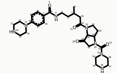 CC(CCNC(=O)c1ccc(N2CCNCC2)cc1)CC(=O)N1CCC2C1C(=O)CN2C(=O)N1CCNCC1